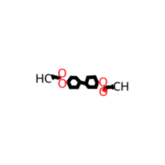 C#CC(=O)OC1CCC(C2CCC(OC(=O)C#C)CC2)CC1